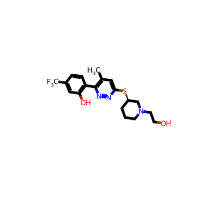 Cc1cc(S[C@@H]2CCCN(CCO)C2)nnc1-c1ccc(C(F)(F)F)cc1O